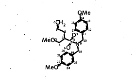 C=CCC(COC)S(=O)(=O)N(Cc1ccc(OC)cc1)Cc1ccc(OC)cc1